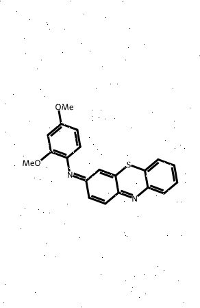 COc1ccc(/N=c2/ccc3nc4ccccc4sc-3c2)c(OC)c1